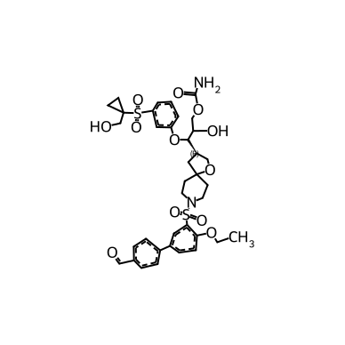 CCOc1ccc(-c2ccc(C=O)cc2)cc1S(=O)(=O)N1CCC2(CC1)C[C@@H](C(Oc1cccc(S(=O)(=O)C3(CO)CC3)c1)C(O)COC(N)=O)CO2